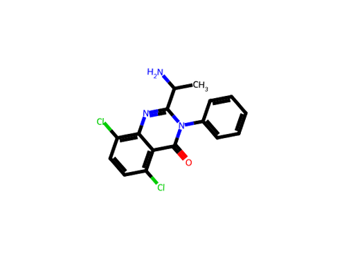 CC(N)c1nc2c(Cl)ccc(Cl)c2c(=O)n1-c1ccccc1